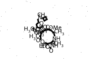 CC[C@H]1OC(=O)C(C)C(=O)[C@H](C)[C@@H](OC2OC(CN(C)C3CCC3)CC(N(C)C)C2O)[C@](C)(OC)C[C@@H](C)CN[C@H](C)[C@H]2NC(=O)O[C@@]21CC